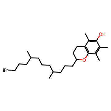 Cc1c(C)c2c(c(C)c1O)CCC(CCCC(C)CCCC(C)CCCC(C)C)O2